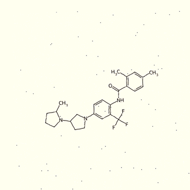 Cc1ccc(C(=O)Nc2ccc(N3CCC(N4CCCC4C)C3)cc2C(F)(F)F)c(C)c1